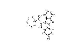 O=C(C(=O)N1CCCCCC1)c1c(-c2ccc(Cl)cc2)cc2ccccn12